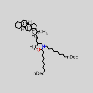 CCCCCCCCCCCCCCCCCCN(CC(C)CCC[C@@H](C)[C@H]1CC[C@H]2[C@@H]3CCC4CCCC[C@]4(C)[C@H]3CC[C@]12C)C(=O)CCCCCCCCCCCCCCCCC